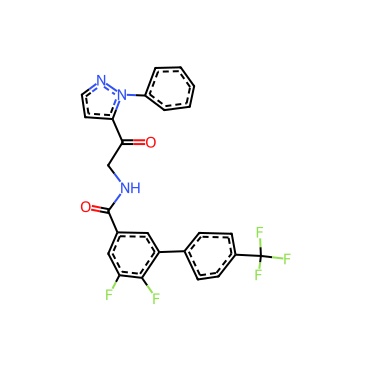 O=C(NCC(=O)c1ccnn1-c1ccccc1)c1cc(F)c(F)c(-c2ccc(C(F)(F)F)cc2)c1